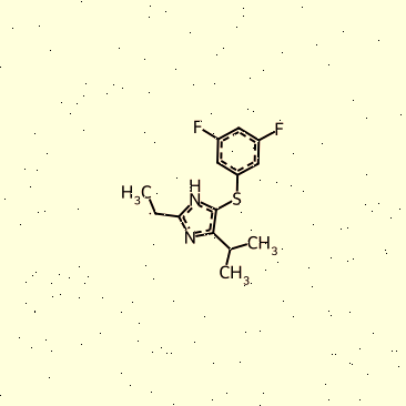 C[CH]c1nc(C(C)C)c(Sc2cc(F)cc(F)c2)[nH]1